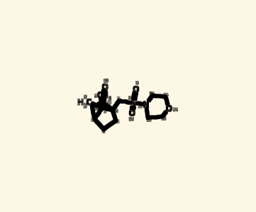 CC1(C)C2CCC1(CS(=O)(=O)N1CCOCC1)C(=O)C2